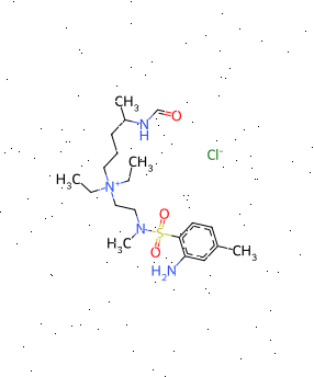 CC[N+](CC)(CCCC(C)NC=O)CCN(C)S(=O)(=O)c1ccc(C)cc1N.[Cl-]